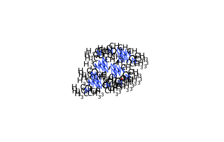 CN(c1nc(NCCCN(CCN(CCCNc2nc(N(C)C3CC(C)(C)N(C)C(C)(C)C3)nc(N(C)C3CC(C)(C)N(C)C(C)(C)C3)n2)c2nc(N(C)C3CC(C)(C)N(C)C(C)(C)C3)nc(N(C)C3CC(C)(C)N(C)C(C)(C)C3)n2)c2nc(N(C)C3CC(C)(C)N(C)C(C)(C)C3)nc(N(C)C3CC(C)(C)N(C)C(C)(C)C3)n2)nc(N(C)C2CC(C)(C)N(C)C(C)(C)C2)n1)C1CC(C)(C)N(C)C(C)(C)C1